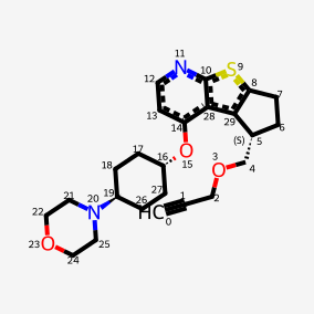 C#CCOC[C@H]1CCc2sc3nccc(O[C@H]4CC[C@H](N5CCOCC5)CC4)c3c21